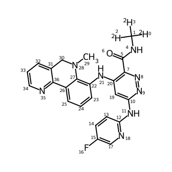 [2H]C([2H])([2H])NC(=O)c1nnc(Nc2ccc(F)cn2)cc1Nc1cccc2c1N(C)Cc1cccnc1-2